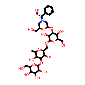 CC1OC(COC2OC(CO)C(O)C(OC3CN([C@H](CO)c4ccccc4)CC(CO)O3)C2O)C(O)C(OC2OC(CO)C(O)C(O)C2O)C1O